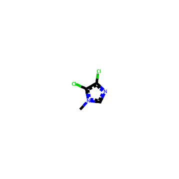 Cn1cnc(Cl)c1Cl